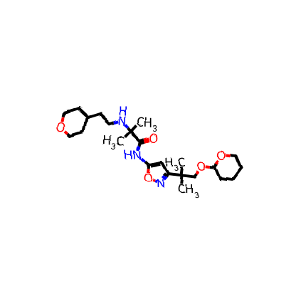 CC(C)(NCCC1CCOCC1)C(=O)Nc1cc(C(C)(C)COC2CCCCO2)no1